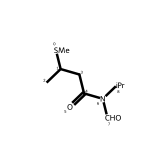 CSC(C)CC(=O)N(C=O)C(C)C